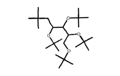 CC(C)(C)CC(OC(C)(C)C)C(OC(C)(C)C)C(COC(C)(C)C)OC(C)(C)C